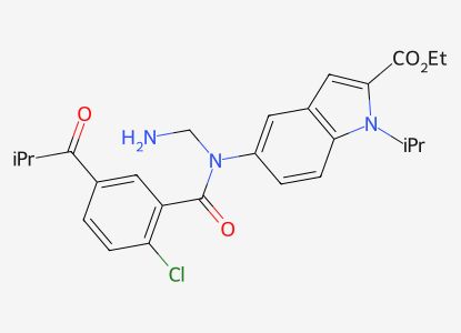 CCOC(=O)c1cc2cc(N(CN)C(=O)c3cc(C(=O)C(C)C)ccc3Cl)ccc2n1C(C)C